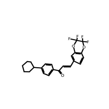 O=C(C=Cc1ccc2c(c1)OC(F)(F)C(F)(F)O2)c1ccc(C2CCCCC2)cc1